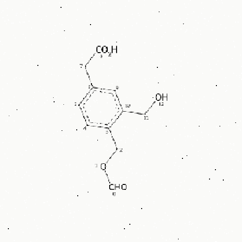 O=COCc1ccc(CC(=O)O)cc1CO